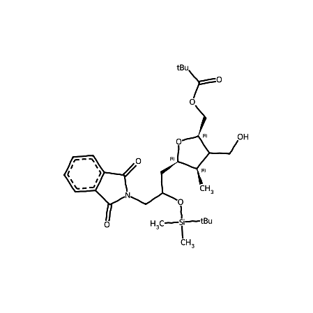 C[C@@H]1C(CO)[C@H](COC(=O)C(C)(C)C)O[C@@H]1CC(CN1C(=O)c2ccccc2C1=O)O[Si](C)(C)C(C)(C)C